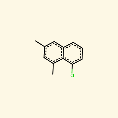 Cc1cc(C)c2c(Cl)cccc2c1